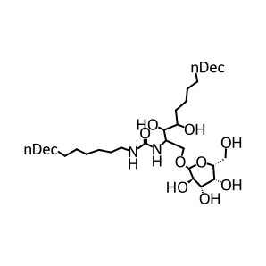 CCCCCCCCCCCCCCCCNC(=O)NC(CO[C@H]1O[C@H](CO)[C@H](O)[C@H](O)[C@H]1O)C(O)C(O)CCCCCCCCCCCCCC